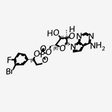 C[C@@]1(O)[C@H](O)[C@@H](COP2(=O)OCC[C@H](c3ccc(F)c(Br)c3)O2)O[C@H]1n1ccc2c(N)ncnc21